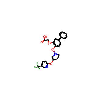 O=C(O)COc1cc(-c2ccccc2)ccc1ON1CCC(Oc2ccc(C(F)(F)F)cn2)C1